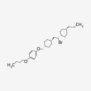 CCCCOc1ccc(OC[C@H]2CC[C@H](CC(Br)[C@H]3CC[C@H](CCC)CC3)CC2)cc1